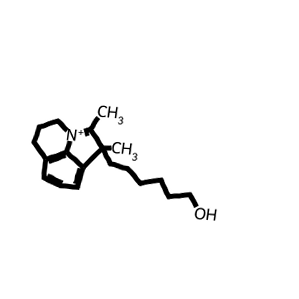 CC1=[N+]2CCCc3cccc(c32)C1(C)CCCCCCO